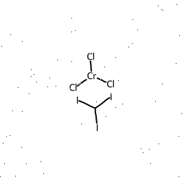 IC(I)I.[Cl][Cr]([Cl])[Cl]